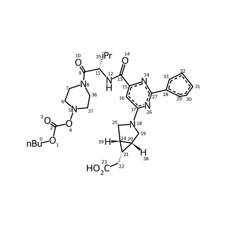 CCCCOC(=O)ON1CCN(C(=O)[C@@H](NC(=O)c2cc(N3C[C@@H]4[C@H](CC(=O)O)[C@@H]4C3)nc(-c3ccccc3)n2)C(C)C)CC1